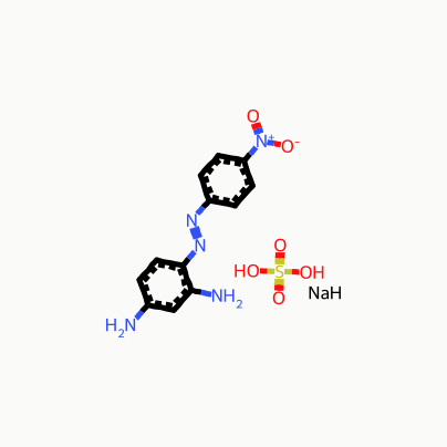 Nc1ccc(N=Nc2ccc([N+](=O)[O-])cc2)c(N)c1.O=S(=O)(O)O.[NaH]